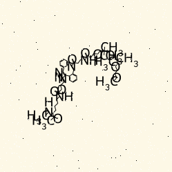 CNC(CCCCNC(=O)OCCn1nnc2c1-c1ccccc1CN(C(=O)CCNC(=O)CCOCC(C)(C)COCC(C)(C)COCCOC)c1ccccc1-2)C(C)=O